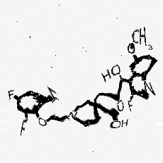 COc1ccc2ncc(F)c([C@H](O)CCC3(C(=O)O)CCN(CCOc4c(F)cc(F)cc4F)CC3)c2c1